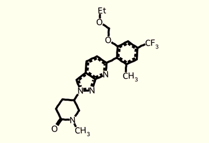 CCOCOc1cc(C(F)(F)F)cc(C)c1-c1ccc2cn(C3CCC(=O)N(C)C3)nc2n1